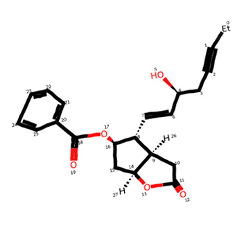 CCC#CC[C@H](O)C=C[C@@H]1[C@H]2CC(=O)O[C@H]2C[C@H]1OC(=O)c1ccccc1